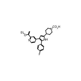 C=C(OCC)c1cc(-c2cc(C3CCN(C(=O)O)CC3)[nH]c2-c2ccc(F)cc2)ccn1